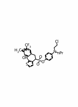 C=C(N)/C=C\C(=C/C(=O)C(F)(F)F)CC(c1ccsc1N=O)S(=O)(=O)Oc1ccc(N(CCC)CCCl)cc1